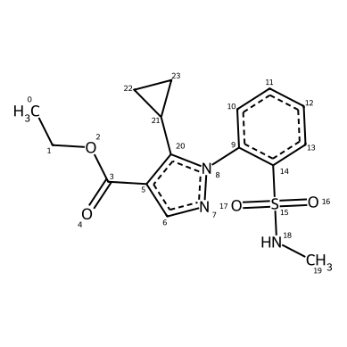 CCOC(=O)c1cnn(-c2ccccc2S(=O)(=O)NC)c1C1CC1